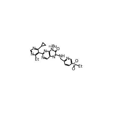 CCc1ncnc(C2CC2)c1-c1ncc2nc(NCc3ccc(S(=O)(=O)CC)cn3)c(=O)n([C@@H](C)CC)c2n1